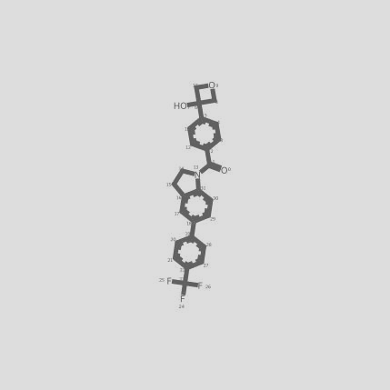 O=C(c1ccc(C2(O)COC2)cc1)N1CCc2cc(-c3ccc(C(F)(F)F)cc3)ccc21